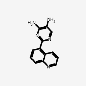 Nc1cnc(-c2cccc3ncccc23)nc1N